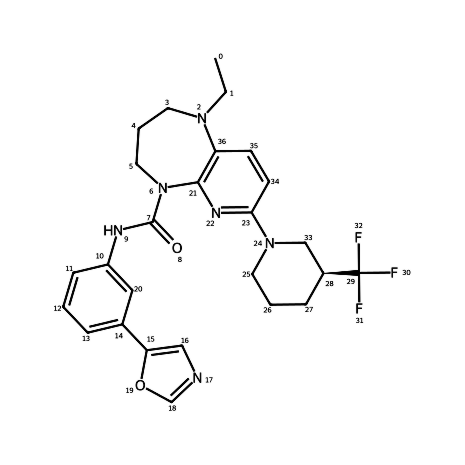 CCN1CCCN(C(=O)Nc2cccc(-c3cnco3)c2)c2nc(N3CCC[C@H](C(F)(F)F)C3)ccc21